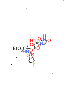 B[C@]1(Cl)[C@H](O)[C@@H](CO[P@](=O)(NC(C)(C)C(=O)OCC)Oc2ccc(F)cc2)O[C@H]1n1ccc(=O)[nH]c1=O